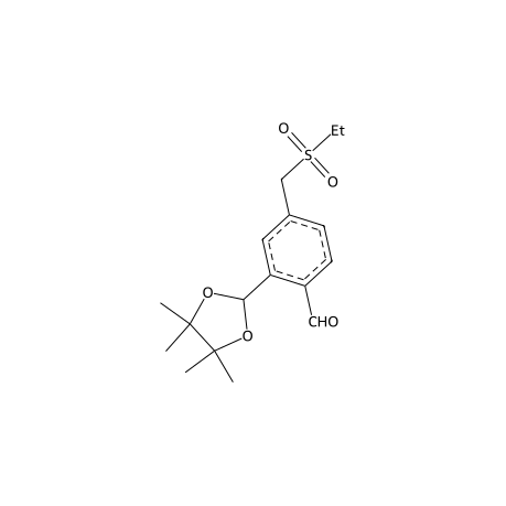 CCS(=O)(=O)Cc1ccc(C=O)c(C2OC(C)(C)C(C)(C)O2)c1